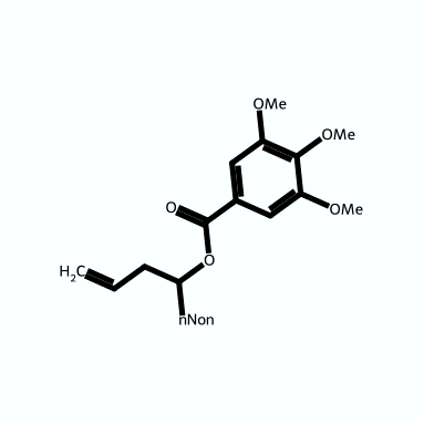 C=CCC(CCCCCCCCC)OC(=O)c1cc(OC)c(OC)c(OC)c1